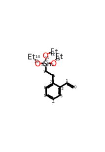 C=Cc1ccccc1CC[Si](OCC)(OCC)OCC